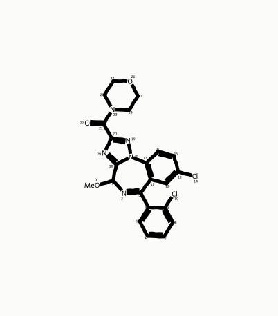 COC1N=C(c2ccccc2Cl)c2cc(Cl)ccc2-n2nc(C(=O)N3CCOCC3)nc21